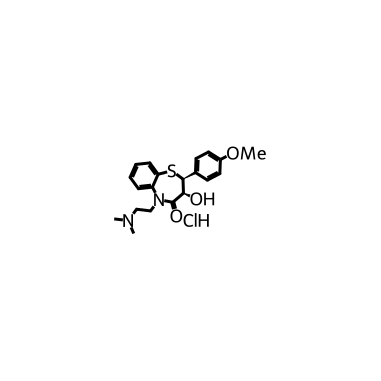 COc1ccc([C@@H]2Sc3ccccc3N(CCN(C)C)C(=O)[C@@H]2O)cc1.Cl